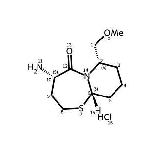 COC[C@@H]1CCC[C@@H]2SCC[C@H](N)C(=O)N12.Cl